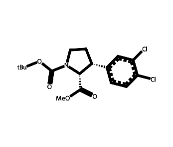 COC(=O)[C@H]1[C@@H](c2ccc(Cl)c(Cl)c2)CCN1C(=O)OC(C)(C)C